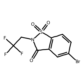 O=C1c2cc(Br)ccc2S(=O)(=O)N1CC(F)(F)F